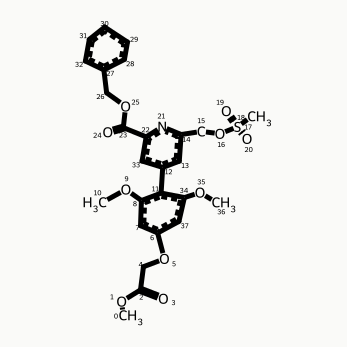 COC(=O)COc1cc(OC)c(-c2cc(COS(C)(=O)=O)nc(C(=O)OCc3ccccc3)c2)c(OC)c1